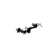 CN1CCN(CCCOc2ccc3c(Nc4cnn(CC(=O)Nc5cccc(F)c5F)c4)ncnc3c2)[C@@H](CO)C1